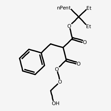 CCCCCC(CC)(CC)OC(=O)C(Cc1ccccc1)C(=O)OOCO